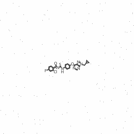 O=C(NC(=S)Nc1ccc(Oc2ncnc3c2ncn3CC2CC2)cc1)c1ccc(F)cc1Cl